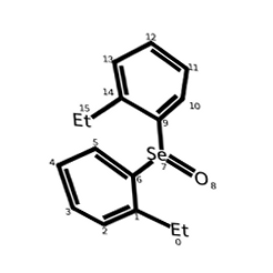 CCc1ccccc1[Se](=O)c1ccccc1CC